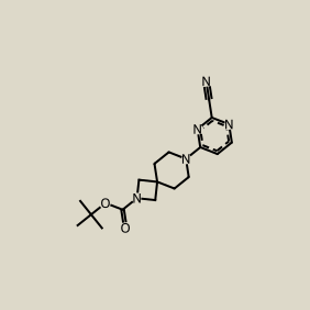 CC(C)(C)OC(=O)N1CC2(CCN(c3ccnc(C#N)n3)CC2)C1